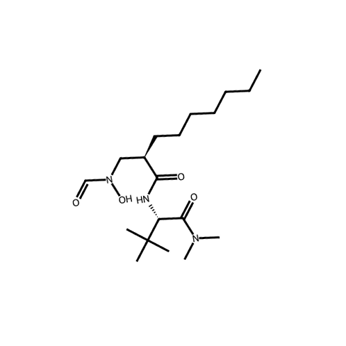 CCCCCCC[C@H](CN(O)C=O)C(=O)N[C@H](C(=O)N(C)C)C(C)(C)C